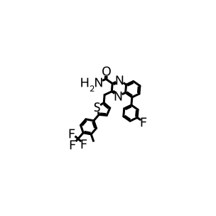 Cc1cc(-c2ccc(Cc3nc4c(-c5cccc(F)c5)cccc4nc3C(N)=O)s2)ccc1C(F)(F)F